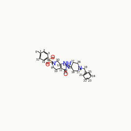 Cc1ccc(S(=O)(=O)N2CCc3c([nH]n(C4CCN(Cc5ccccc5)CC4)c3=O)C2)cc1